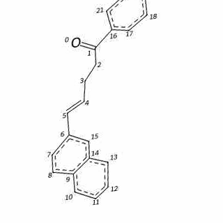 O=C(CCC=Cc1ccc2ccccc2c1)c1ccccc1